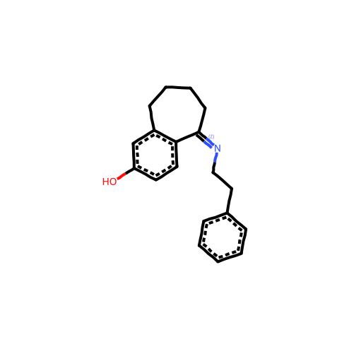 Oc1ccc2c(c1)CCCC/C2=N/CCc1ccccc1